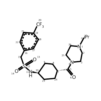 CC(C)N1CCN(C(=O)[C@H]2CC[C@H](NS(=O)(=O)Cc3ccc(C(F)(F)F)cc3)CC2)CC1